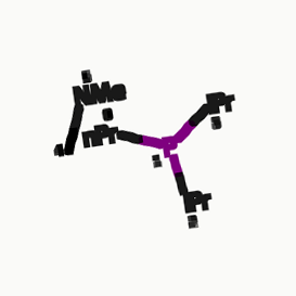 CCCP(C(C)C)C(C)C.CNC